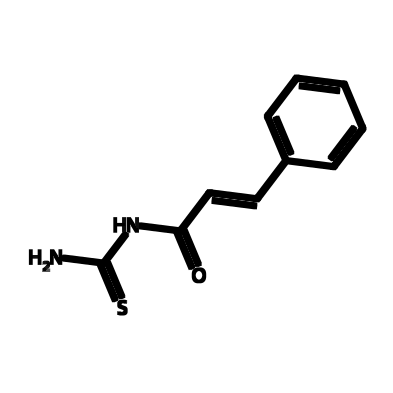 NC(=S)NC(=O)C=Cc1ccccc1